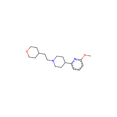 COc1cccc(C2CCN(CCC3CCOCC3)CC2)n1